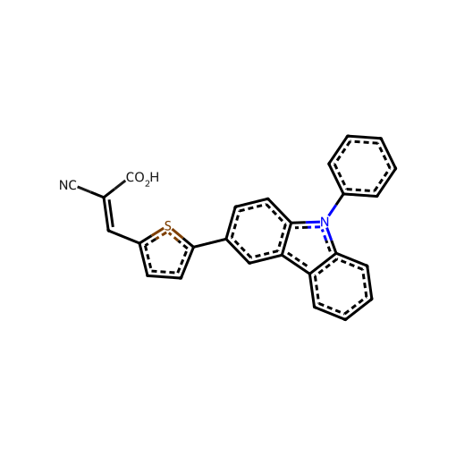 N#CC(=Cc1ccc(-c2ccc3c(c2)c2ccccc2n3-c2ccccc2)s1)C(=O)O